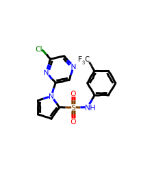 O=S(=O)(Nc1cccc(C(F)(F)F)c1)c1cccn1-c1cncc(Cl)n1